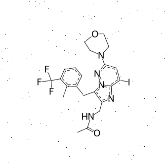 CC(=O)NCc1nc2c(I)cc(N3CCOCC3)nn2c1Cc1cccc(C(F)(F)F)c1C